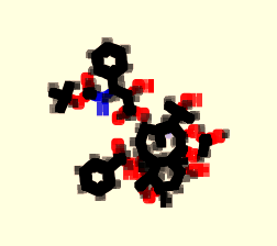 CC(=O)O[C@H]1C(=O)[C@@]2(C)[C@H]([C@H](OC(=O)c3ccccc3)C[C@H](OC(=O)[C@H](O)[C@@H](NC(=O)OC(C)(C)C)c3ccccc3)/C(C)=C/1C(C)(C)O)[C@]1(O)CO[C@@H]1C[C@@H]2O